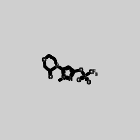 Cn1nc(OS(=O)(=O)C(F)(F)F)cc1N1CCOCC1=O